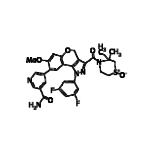 COc1cc2c(cc1-c1cncc(C(N)=O)c1)-c1c(c(C(=O)N3CC[S+]([O-])CC3(C)C)nn1-c1cc(F)cc(F)c1)CO2